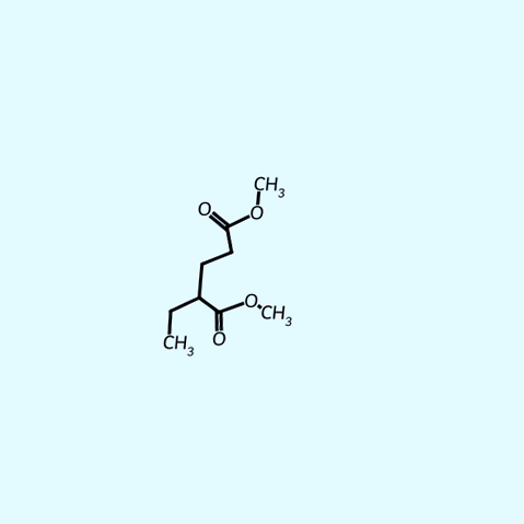 CCC(CCC(=O)OC)C(=O)OC